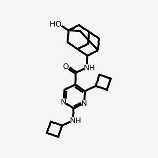 O=C(NC1C2CC3CC1CC(O)(C3)C2)c1cnc(NC2CCC2)nc1C1CCC1